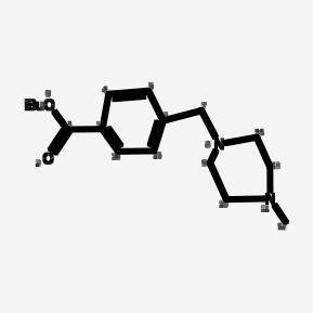 CC(C)COC(=O)c1ccc(CN2CCN(C)CC2)cc1